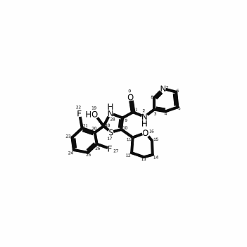 O=C(Nc1cccnc1)C1=C(C2CCCCO2)SC(O)(c2c(F)cccc2F)N1